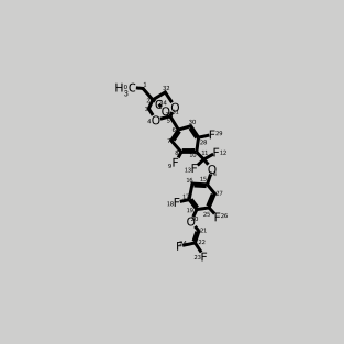 CCC12COC(c3cc(F)c(C(F)(F)Oc4cc(F)c(OC=C(F)F)c(F)c4)c(F)c3)(OC1)OC2